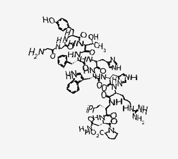 CC(C)C[C@H](NC(=O)[C@H](CCCNC(=N)N)NC(=O)[C@H](Cc1c[nH]cn1)NC(=O)[C@H](Cc1c[nH]c2ccccc12)NC(=O)[C@H](Cc1c[nH]cn1)NC(=O)[C@H](Cc1ccccc1)NC(=O)[C@@H](NC(=O)[C@H](Cc1ccc(O)cc1)NC(=O)CNC(=O)CN)[C@@H](C)O)C(=O)N[C@@H](CC(N)=O)C(=O)N1CCC[C@H]1C(=O)O